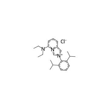 CCN(CC)c1cccc2c[n+](-c3c(C(C)C)cccc3C(C)C)cn12.[Cl-]